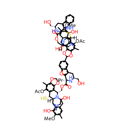 COC1=C(O)C2C(C=C1C)CC1(O)CN(C)C2[C@@H]2[C@@H]3SC[C@]4(N[C@H](CO)Cc5c4[nH]c4ccccc54)C(=O)OC[C@@H](c4c5c(c(C)c(OC(C)=O)c43)OC(c3ccc4oc6c(c4c3)C[C@@H](CO)N[C@]6(C(=O)OC[C@H]3c4c6c(c(C)c(OC(C)=O)c4[C@@H](S)[C@H]4C7c8c(cc(C)c(OC)c8O)CC(O)(CN7C)N43)OCO6)C(C)C)O5)N21